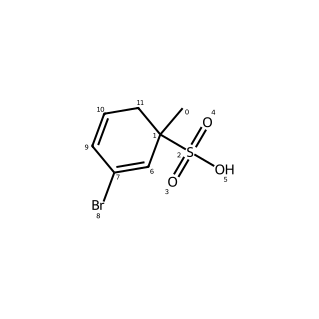 CC1(S(=O)(=O)O)C=C(Br)C=CC1